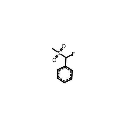 CS(=O)(=O)C(F)c1ccccc1